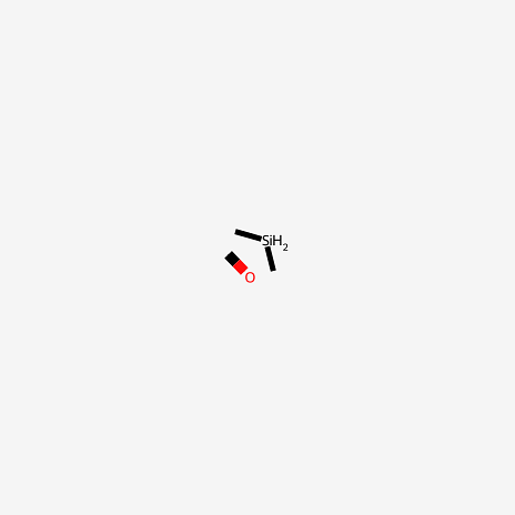 C=O.C[SiH2]C